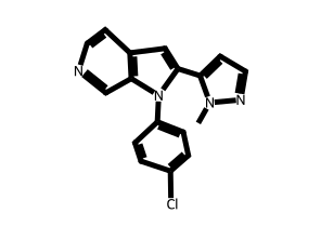 Cn1nccc1-c1cc2ccncc2n1-c1ccc(Cl)cc1